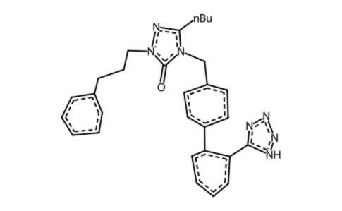 CCCCc1nn(CCCc2ccccc2)c(=O)n1Cc1ccc(-c2ccccc2-c2nnn[nH]2)cc1